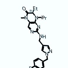 CC[C@@H]1C(=O)N(C)c2cnc(NCc3cnn(Cc4ccc(F)cc4)c3)nc2N1C(C)C